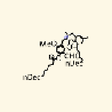 CCCCCCCCCCCCCCCC(=O)Oc1cc(OC)c(C/C=C(\C)CC(C=C(C)C)C(=O)CCCCCCCCCCCCCCC)c(O)c1C=O